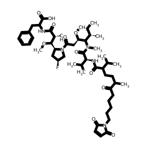 CC[C@H](C)C([C@@H](CC(=O)N1C[C@@H](F)C[C@H]1C(OC)[C@@H](C)C(=O)NC(Cc1ccccc1)C(=O)O)OC)N(C)C(=O)[C@@H](NC(=O)C(CCC(C)C(=O)CCCCCN1C(=O)C=CC1=O)C(C)C)C(C)C